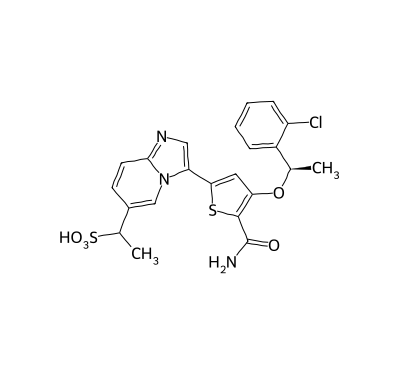 CC(c1ccc2ncc(-c3cc(O[C@H](C)c4ccccc4Cl)c(C(N)=O)s3)n2c1)S(=O)(=O)O